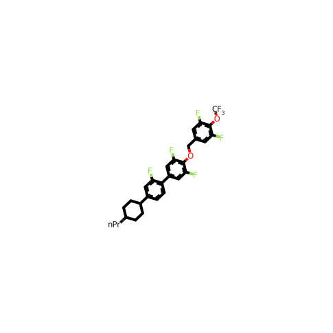 CCCC1CCC(c2ccc(-c3cc(F)c(OCc4cc(F)c(OC(F)(F)F)c(F)c4)c(F)c3)c(F)c2)CC1